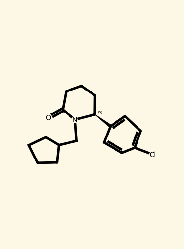 O=C1CCC[C@@H](c2ccc(Cl)cc2)N1CC1CCCC1